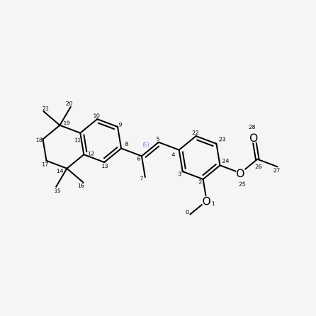 COc1cc(/C=C(\C)c2ccc3c(c2)C(C)(C)CCC3(C)C)ccc1OC(C)=O